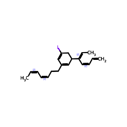 C=C/C=C\C(=C/C)C1C=C(CC/C=C\C=C/C)C=C(I)C1